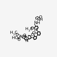 COC[C@@H](NCc1cnc2cc(-c3cccc(-c4cccc(-c5ccc(CNC[C@@H]6CCC(=O)N6)c(OC)n5)c4Cl)c3Cl)ccn2c1=O)C(=O)O